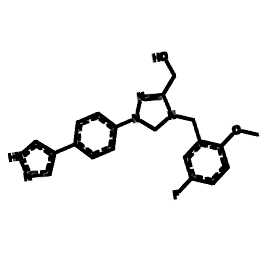 COc1ccc(F)cc1CN1CN(c2ccc(-c3cn[nH]c3)cc2)N=C1CO